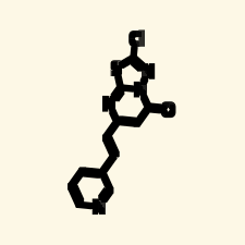 O=c1cc(/C=C/c2cccnc2)nc2sc(Cl)nn12